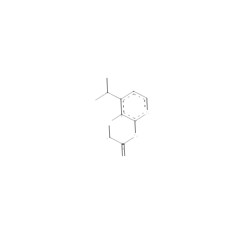 CC(C)c1ccnc2c1OCC(=O)N2